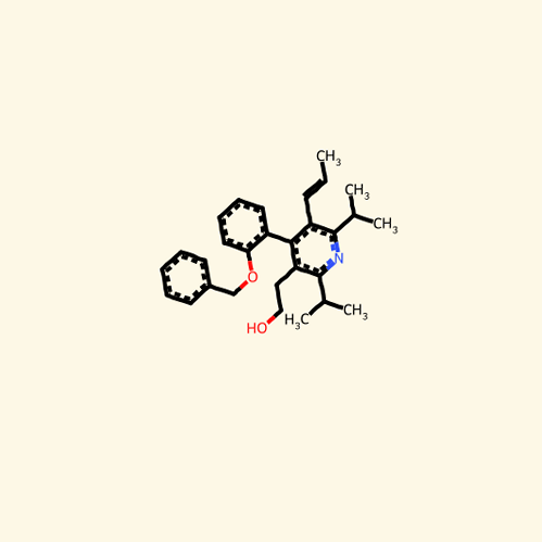 CC=Cc1c(C(C)C)nc(C(C)C)c(CCO)c1-c1ccccc1OCc1ccccc1